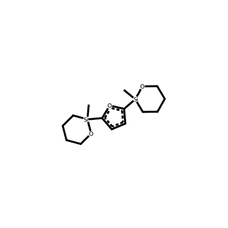 C[Si]1(c2ccc([Si]3(C)CCCCO3)o2)CCCCO1